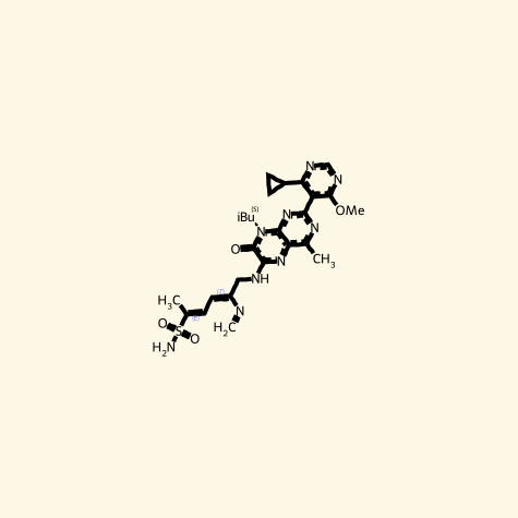 C=N/C(=C\C=C(/C)S(N)(=O)=O)CNc1nc2c(C)nc(-c3c(OC)ncnc3C3CC3)nc2n([C@@H](C)CC)c1=O